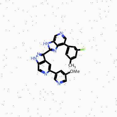 COc1cncc(-c2cc3c(-c4nc5c(-c6cc(C)cc(F)c6)cncc5[nH]4)n[nH]c3cn2)c1